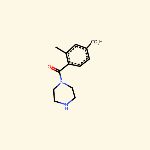 Cc1cc(C(=O)O)ccc1C(=O)N1CCNCC1